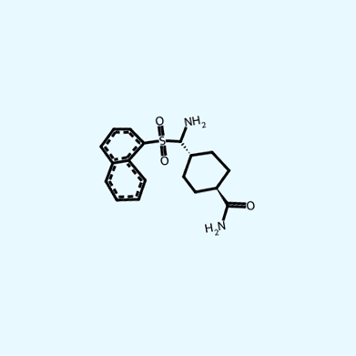 NC(=O)[C@H]1CC[C@H](C(N)S(=O)(=O)c2cccc3ccccc23)CC1